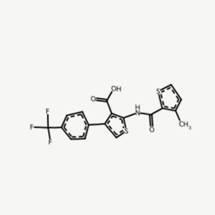 Cc1ccsc1C(=O)Nc1scc(-c2ccc(C(F)(F)F)cc2)c1C(=O)O